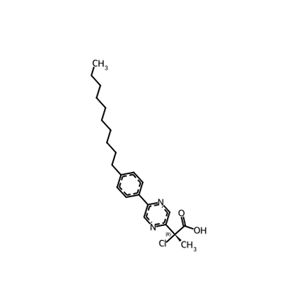 CCCCCCCCCCc1ccc(-c2cnc([C@@](C)(Cl)C(=O)O)cn2)cc1